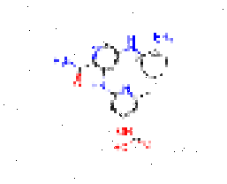 Cc1cc(O)cc(Nc2cc(N[C@@H]3CCCC[C@@H]3N)cnc2C(N)=O)n1.O=CO